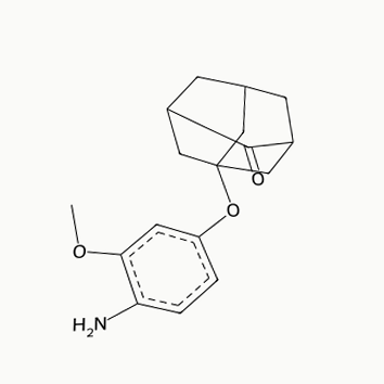 COc1cc(OC23CC4CC(C2)C(=O)C(C4)C3)ccc1N